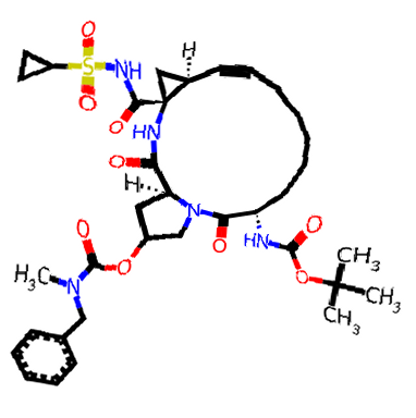 CN(Cc1ccccc1)C(=O)OC1C[C@H]2C(=O)N[C@]3(C(=O)NS(=O)(=O)C4CC4)C[C@H]3/C=C\CCCCC[C@H](NC(=O)OC(C)(C)C)C(=O)N2C1